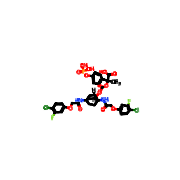 CC(OC(=O)O[C@H]1CC2(NC(=O)COc3ccc(Cl)c(F)c3)CCC1(NC(=O)COc1ccc(Cl)c(F)c1)CC2)(C(=O)O)c1ccc(OP(=O)(O)O)cc1